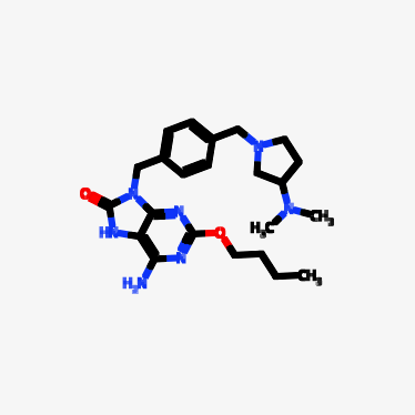 CCCCOc1nc(N)c2[nH]c(=O)n(Cc3ccc(CN4CCC(N(C)C)C4)cc3)c2n1